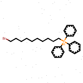 BrCCCCCCCCCC[PH](c1ccccc1)(c1ccccc1)c1ccccc1